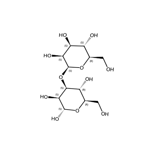 OC[C@H]1O[C@@H](O[C@@H]2[C@H](O)[C@@H](O)O[C@H](CO)[C@H]2O)[C@@H](O)[C@@H](O)[C@@H]1O